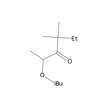 CCC(C)OC(C)C(=O)C(C)(C)CC